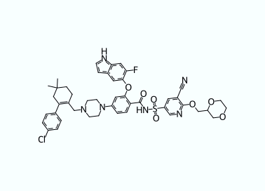 CC1(C)CCC(CN2CCN(c3ccc(C(=O)NS(=O)(=O)c4cnc(OCC5COCCO5)c(C#N)c4)c(Oc4cc5cc[nH]c5cc4F)c3)CC2)=C(c2ccc(Cl)cc2)C1